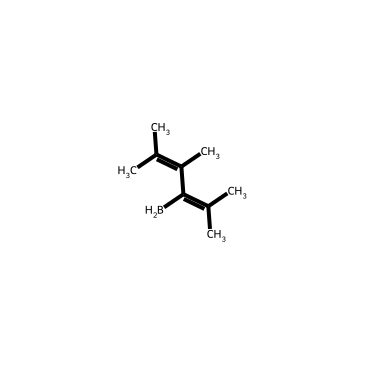 BC(=C(C)C)C(C)=C(C)C